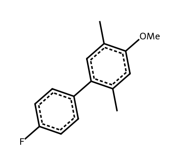 COc1cc(C)c(-c2ccc(F)cc2)cc1C